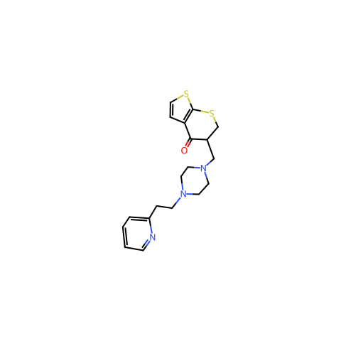 O=C1c2ccsc2SCC1CN1CCN(CCc2ccccn2)CC1